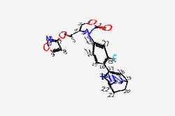 O=C1OCC(COc2ccon2)N1c1ccc(C2=CC3CCC(C2)N3)c(F)c1